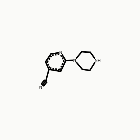 N#Cc1ccnc(N2CCNCC2)c1